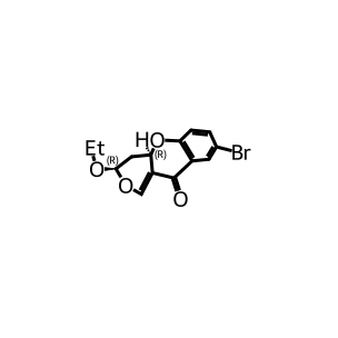 CCO[C@H]1C[C@H]2Oc3ccc(Br)cc3C(=O)C2=CO1